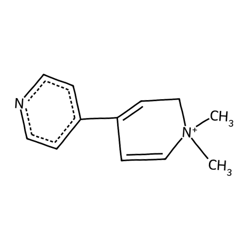 C[N+]1(C)C=CC(c2ccncc2)=CC1